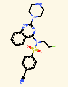 N#Cc1ccc(S(=O)(=O)N(CCF)c2nc(N3CCNCC3)nc3ccccc23)cc1